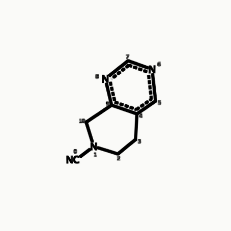 N#CN1CCc2cncnc2C1